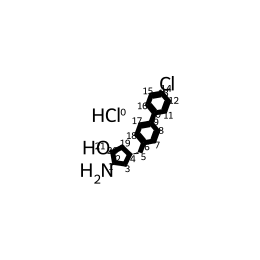 Cl.N[C@H]1C[C@@H](Cc2ccc(-c3ccc(Cl)cc3)cc2)C[C@@H]1O